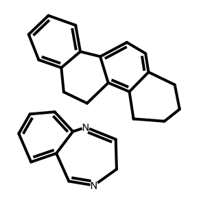 C1=NCC=Nc2ccccc21.c1ccc2c(c1)CCc1c-2ccc2c1CCCC2